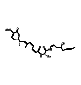 CC#CC[C@H](O)C/C=C\NC(=O)[C@@H](NC(=O)\C=C/C=C\C(C)=C\[C@H](C)[C@@H]1CC=C(OC)C(=O)O1)C(C)(C)C